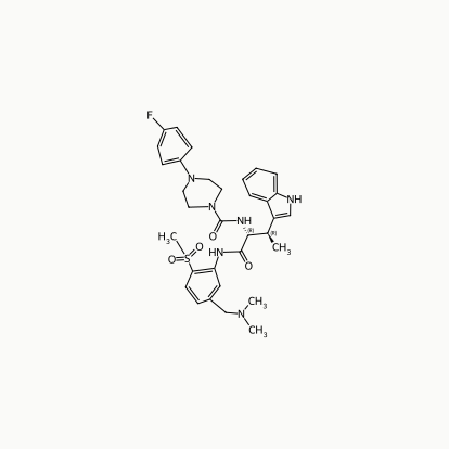 C[C@H](c1c[nH]c2ccccc12)[C@@H](NC(=O)N1CCN(c2ccc(F)cc2)CC1)C(=O)Nc1cc(CN(C)C)ccc1S(C)(=O)=O